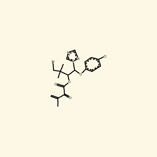 C=C(C)C(=O)C(=O)OC(C(Oc1ccc(Cl)cc1)n1cncn1)C(C)(C)CBr